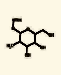 CCCCCCOC1OC(CO)C(O)C(O)C1C